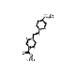 CCOC(=O)C1CCN(CCN2CCN(C(=O)OC(C)(C)C)CC2)CC1